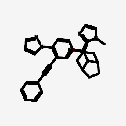 Cn1ccnc1C1(O)CC2CCC(C1)N2C(=O)c1ccc(-n2cccn2)c(C#Cc2ccccc2)c1